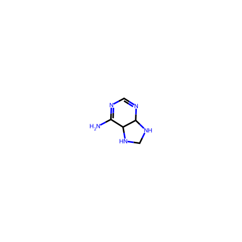 NC1=NC=NC2NCNC12